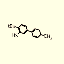 CC1C=CC(c2ccc(C(C)(C)C)c(S)c2)=CC1